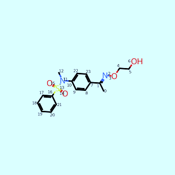 CC(=NOCCO)c1ccc(N(C)S(=O)(=O)c2ccccc2)cc1